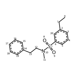 CCc1cccc(S(=O)(=O)N(C)CCc2ccccc2)c1